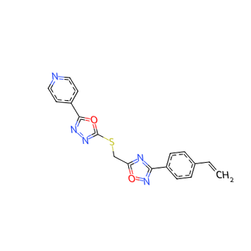 C=Cc1ccc(-c2noc(CSc3nnc(-c4ccncc4)o3)n2)cc1